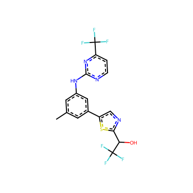 Cc1cc(Nc2nccc(C(F)(F)F)n2)cc(-c2cnc(C(O)C(F)(F)F)s2)c1